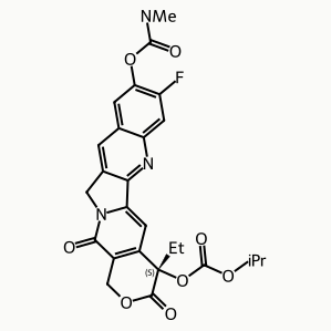 CC[C@@]1(OC(=O)OC(C)C)C(=O)OCc2c1cc1n(c2=O)Cc2cc3cc(OC(=O)NC)c(F)cc3nc2-1